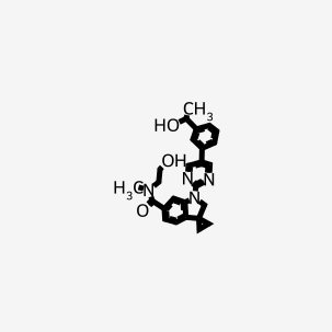 CC(O)c1cccc(-c2cnc(N3CC4(CC4)c4ccc(C(=O)N(C)CCO)cc43)nc2)c1